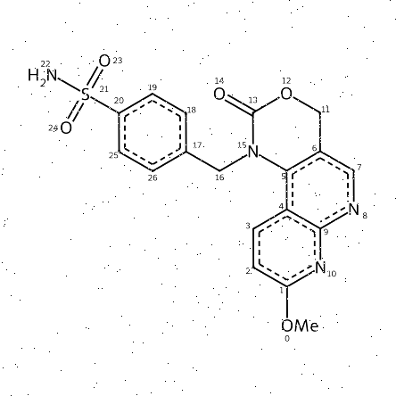 COc1ccc2c3c(cnc2n1)COC(=O)N3Cc1ccc(S(N)(=O)=O)cc1